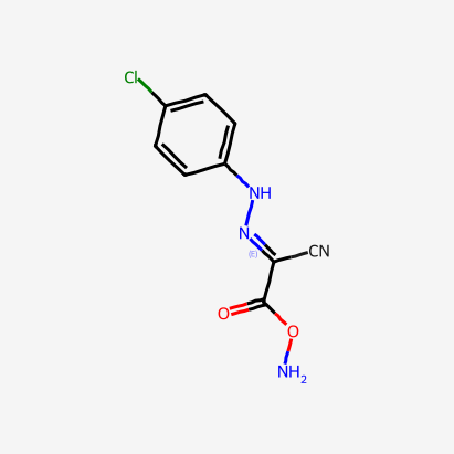 N#C/C(=N\Nc1ccc(Cl)cc1)C(=O)ON